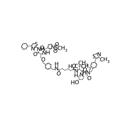 Cc1ncsc1-c1ccc(CNC(=O)[C@@H]2C[C@@H](O)CN2C(=O)[C@@H](NC(=O)CCCCC(=O)NCc2ccc(COCC(NC(=O)c3ccn(S(C)(=O)=O)c3)C(=O)Nc3nc(-c4ccccc4)cs3)cc2)C(C)(C)C)cc1